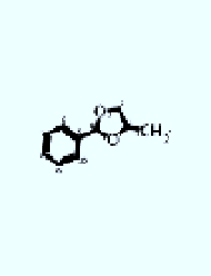 [CH2]C1COC(c2ccccc2)O1